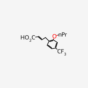 CCCOc1cc(C(F)(F)F)ccc1CC=CC(=O)O